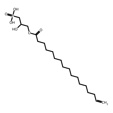 C=CCCCCCCCCCCCCCCC(=O)OCC(O)CP(=O)(O)O